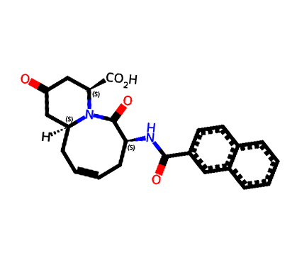 O=C1C[C@@H]2CC=CC[C@H](NC(=O)c3ccc4ccccc4c3)C(=O)N2[C@H](C(=O)O)C1